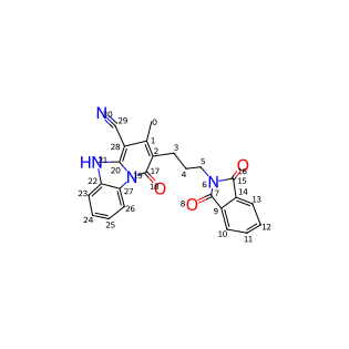 Cc1c(CCCN2C(=O)c3ccccc3C2=O)c(=O)n2c([nH]c3ccccc32)c1C#N